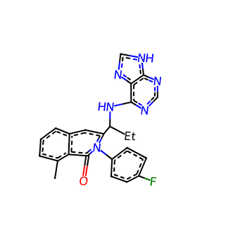 CCC(Nc1ncnc2[nH]cnc12)c1cc2cccc(C)c2c(=O)n1-c1ccc(F)cc1